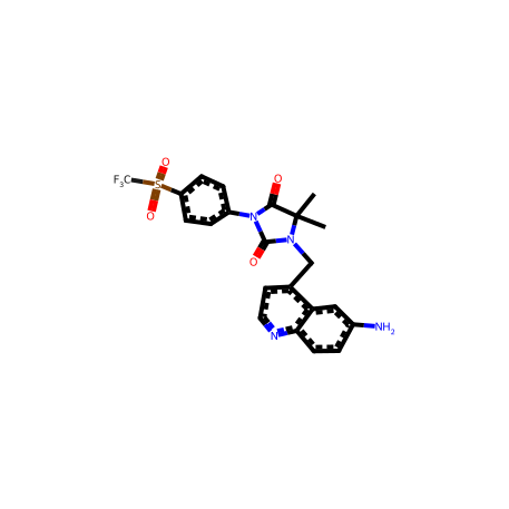 CC1(C)C(=O)N(c2ccc(S(=O)(=O)C(F)(F)F)cc2)C(=O)N1Cc1ccnc2ccc(N)cc12